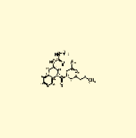 CCCCC[C@@H](CC(=O)O)C(=O)N1CC(NC(=O)NC)Cc2ccccc21